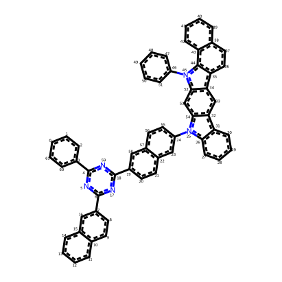 c1ccc(-c2nc(-c3ccc4ccccc4c3)nc(-c3ccc4cc(-n5c6ccccc6c6cc7c8ccc9ccccc9c8n(-c8ccccc8)c7cc65)ccc4c3)n2)cc1